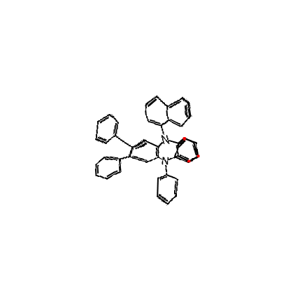 c1ccc(-c2cc(N(c3ccccc3)c3ccccc3)c(N(c3ccccc3)c3cccc4ccccc34)cc2-c2ccccc2)cc1